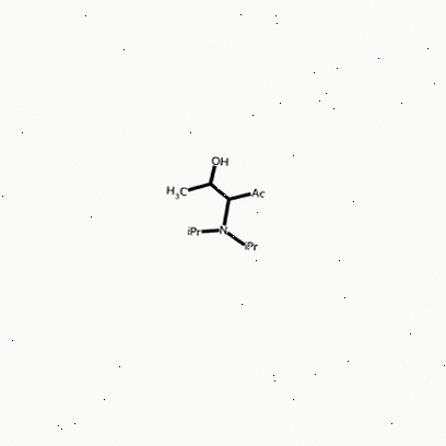 CC(=O)C(C(C)O)N(C(C)C)C(C)C